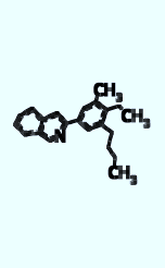 CCCCc1cc(-c2cc3ccccc3cn2)cc(C)c1CC